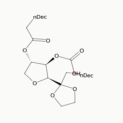 CCCCCCCCCCCC(=O)O[C@@H]1[C@@H](OC(=O)CCCCCCCCCCC)CO[C@@H]1C1(CO)OCCO1